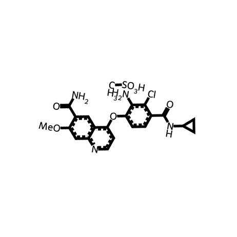 COc1cc2nccc(Oc3ccc(C(=O)NC4CC4)c(Cl)c3N)c2cc1C(N)=O.CS(=O)(=O)O